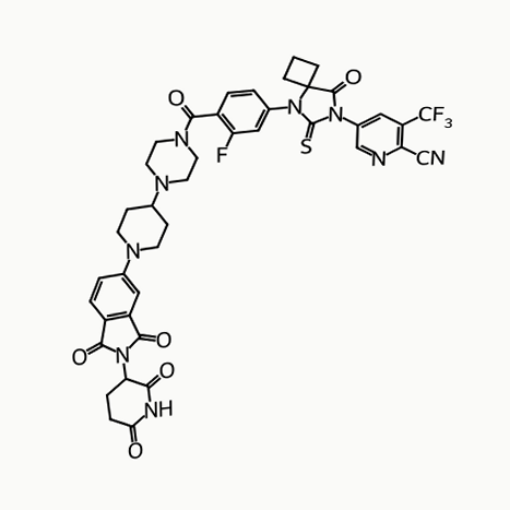 N#Cc1ncc(N2C(=O)C3(CCC3)N(c3ccc(C(=O)N4CCN(C5CCN(c6ccc7c(c6)C(=O)N(C6CCC(=O)NC6=O)C7=O)CC5)CC4)c(F)c3)C2=S)cc1C(F)(F)F